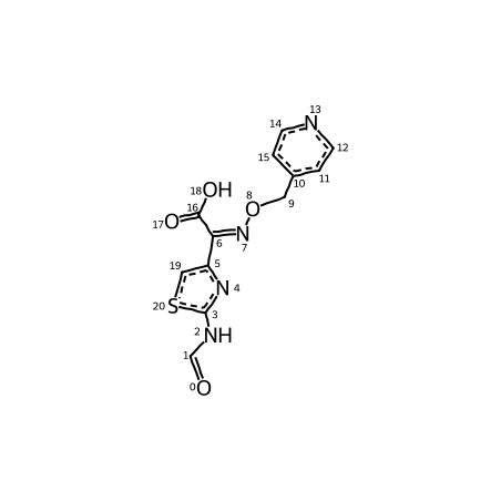 O=CNc1nc(C(=NOCc2ccncc2)C(=O)O)cs1